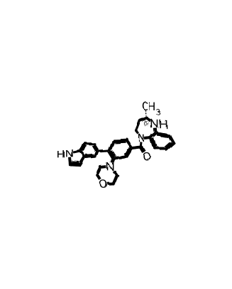 C[C@H]1CCN(C(=O)c2ccc(-c3ccc4[nH]ccc4c3)c(N3CCOCC3)c2)c2ccccc2N1